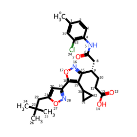 Cc1ccc(NC(=O)C[C@H](CCC(=O)O)c2noc(-c3cc(CC(C)(C)C)on3)c2C2CC2)c(Cl)c1